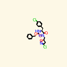 O=C(N[C@@H](Cc1ccc(Cl)cc1)C(=O)NCC1CC(Cl)=NO1)OCc1ccccc1